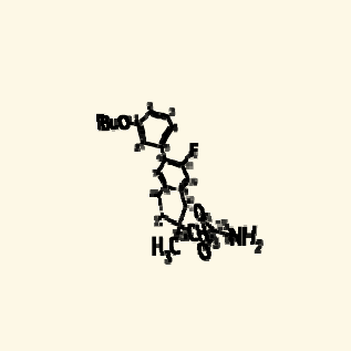 CC(C)COc1cccc(-c2cc3c(cc2F)[C@H](OC(N)=O)C(C)(C)CC3)c1